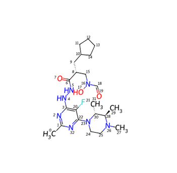 Cc1nc(NNC(=O)[C@H](CC2CCCC2)CN(O)C=O)c(F)c(N2CCN(C)[C@H](C)[C@H]2C)n1